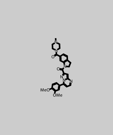 COc1ccc(-c2ccnc3cc(C(=O)N4CCc5ccc(C(=O)N6CCN(C)CC6)cc54)nn23)cc1OC